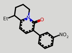 CCC1CCCn2c1ccc(-c1cccc([N+](=O)[O-])c1)c2=O